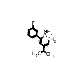 C/C=C(\C=C(/ON)c1cccc(F)c1)C(C)C